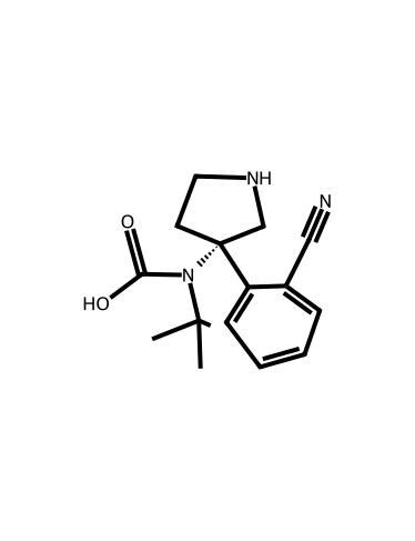 CC(C)(C)N(C(=O)O)[C@]1(c2ccccc2C#N)CCNC1